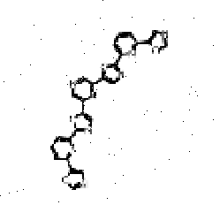 c1cc(-c2cnco2)nc(-c2ncc(-c3cncc(-c4cnc(-c5cccc(-c6cnco6)n5)o4)n3)o2)c1